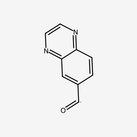 O=[C]c1ccc2nccnc2c1